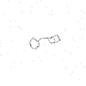 c1ccc(Cc2cc3ccc2-3)cc1